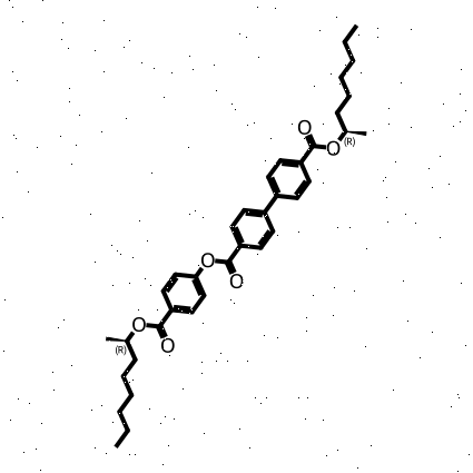 CCCCCC[C@@H](C)OC(=O)c1ccc(OC(=O)c2ccc(-c3ccc(C(=O)O[C@H](C)CCCCCC)cc3)cc2)cc1